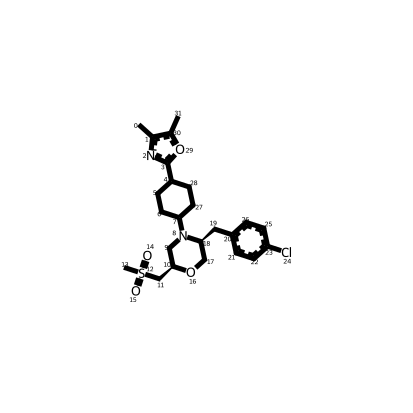 Cc1nc(C2CCC(N3C[C@H](CS(C)(=O)=O)OC[C@@H]3Cc3ccc(Cl)cc3)CC2)oc1C